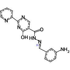 Nc1cccc(/C=N/NC(=O)c2cnc(-c3ccccn3)nc2O)c1